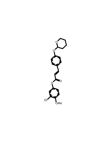 CCc1cc(OC(=O)/C=C/c2ccc(OC3CCCCO3)cc2)ccc1OC